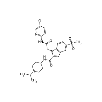 CC(C)N1CCC(NC(=O)c2cc3cc(S(C)(=O)=O)ccc3n2CC(=O)Nc2ccc(Cl)cn2)CC1